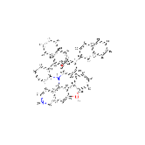 c1ccc(N(c2ccc(-c3ccc4ccccc4c3)cc2)c2c3ccncc3cc3oc4ccccc4c23)c(-c2cccc3ccccc23)c1